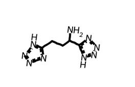 NC(CCc1nnn[nH]1)c1nnn[nH]1